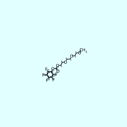 COCCOCCOCCOC(=O)Oc1c(F)c(F)c(F)c(F)c1F